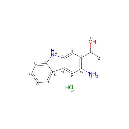 CC(O)c1cc2[nH]c3ccccc3c2cc1N.Cl